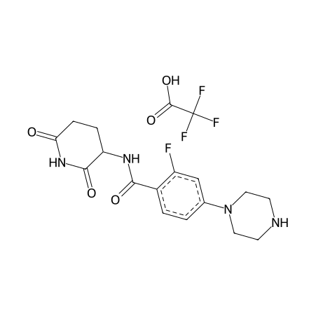 O=C(O)C(F)(F)F.O=C1CCC(NC(=O)c2ccc(N3CCNCC3)cc2F)C(=O)N1